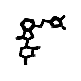 C=C1CCC(N2Cc3c(OCc4cc(C)n(C)n4)cccc3C2=O)C(=O)N1